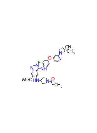 C=CC(=O)N1CCC(Nc2cc3c(Nc4ccc(Oc5ccnc(N6CC[C@](C)(C#N)C6)c5)cc4F)ncnc3cc2OC)CC1